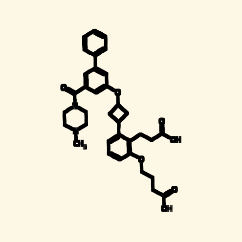 CN1CCN(C(=O)c2cc(OC3CC(c4cccc(OCCCC(=O)O)c4CCC(=O)O)C3)cc(-c3ccccc3)c2)CC1